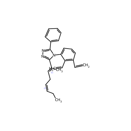 C=Cc1cccc(-n2c(/C(C)=C/C/C=C\CC)nnc2-c2ccccc2)c1C=C